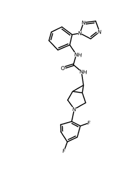 O=C(Nc1ccccc1-n1cncn1)NC1C2CN(c3ccc(F)cc3F)CC21